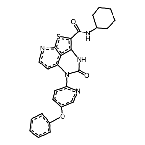 O=C(NC1CCCCC1)c1sc2nccc3c2c1NC(=O)N3c1ccc(Oc2ccccc2)cn1